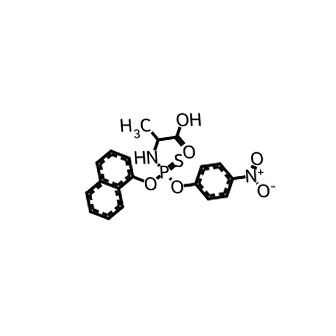 CC(NP(=S)(Oc1ccc([N+](=O)[O-])cc1)Oc1cccc2ccccc12)C(=O)O